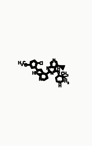 COc1ccc(Cl)c(-c2cc3c(-c4nc(NC5CCNCC5(C)C)c5c(C6CC6)cncc5n4)ccnc3[nH]2)c1